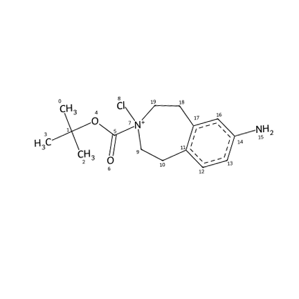 CC(C)(C)OC(=O)[N+]1(Cl)CCc2ccc(N)cc2CC1